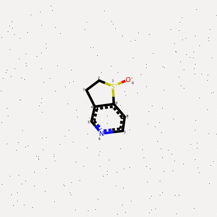 [O-][S+]1CCc2cn[c]cc21